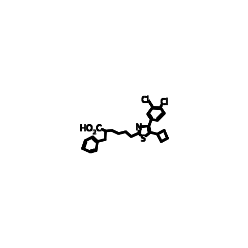 O=C(O)C(CCCCc1nc(-c2ccc(Cl)c(Cl)c2)c(C2CCC2)s1)Cc1ccccc1